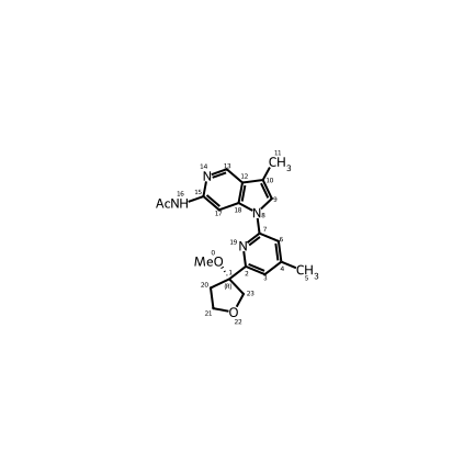 CO[C@@]1(c2cc(C)cc(-n3cc(C)c4cnc(NC(C)=O)cc43)n2)CCOC1